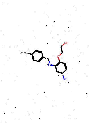 COc1ccc(CNc2cc(N)ccc2OCCO)cc1